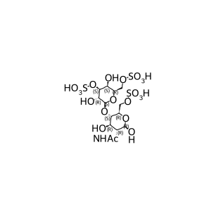 CC(=O)N[C@@H]1[C@@H](O)[C@H](O[C@@H]2O[C@H](COS(=O)(=O)O)[C@H](O)[C@H](OS(=O)(=O)O)[C@H]2O)[C@@H](COS(=O)(=O)O)O[C@H]1O